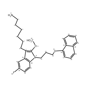 NCCCCCCc1c(OC(=O)O)n(CCCOc2cccc3ccccc23)c2ccc(F)cc12